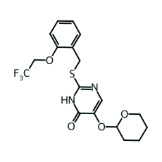 O=c1[nH]c(SCc2ccccc2OCC(F)(F)F)ncc1OC1CCCCO1